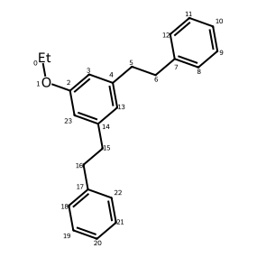 [CH2]COc1cc(CCc2ccccc2)cc(CCc2ccccc2)c1